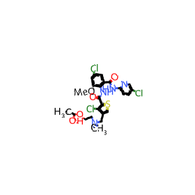 COc1cc(Cl)cc(C(=O)Nc2ccc(Cl)cn2)c1NC(=O)c1scc(CN(C)CCOC(C)O)c1Cl